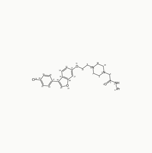 CC(C)NC(=O)CN1CCN(CCOc2ccc3c(-c4ccc(Cl)cc4)coc3c2)CC1